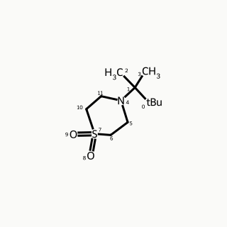 CC(C)(C)C(C)(C)N1CCS(=O)(=O)CC1